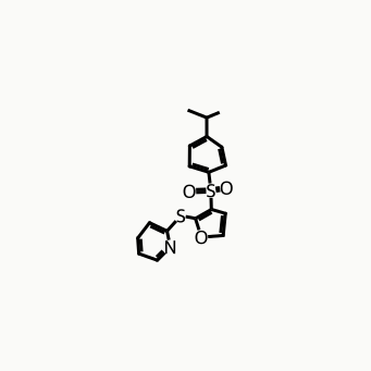 CC(C)c1ccc(S(=O)(=O)c2ccoc2Sc2ccccn2)cc1